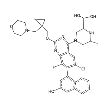 CC1CN(c2nc(OCC3(CN4CCOCC4)CC3)nc3c(F)c(-c4cc(O)cc5ccccc45)c(Cl)cc23)CC(C(O)O)N1